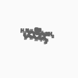 CCc1cc2c(cc1N)S(=O)(=O)c1cc(N)c(CC)cc1C2